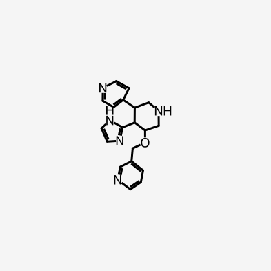 c1cncc(COC2CNCC(c3ccncc3)C2c2ncc[nH]2)c1